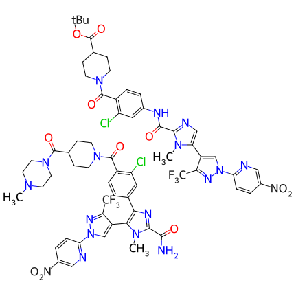 CN1CCN(C(=O)C2CCN(C(=O)c3ccc(-c4nc(C(N)=O)n(C)c4-c4cn(-c5ccc([N+](=O)[O-])cn5)nc4C(F)(F)F)cc3Cl)CC2)CC1.Cn1c(-c2cn(-c3ccc([N+](=O)[O-])cn3)nc2C(F)(F)F)cnc1C(=O)Nc1ccc(C(=O)N2CCC(C(=O)OC(C)(C)C)CC2)c(Cl)c1